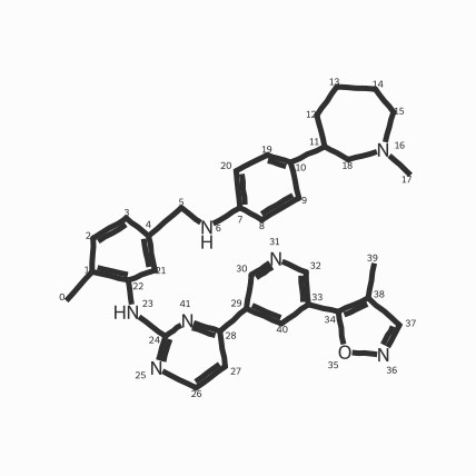 Cc1ccc(CNc2ccc(C3CCCCN(C)C3)cc2)cc1Nc1nccc(-c2cncc(-c3oncc3C)c2)n1